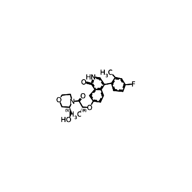 Cc1cc(F)ccc1-c1c[nH]c(=O)c2cc(O[C@H](C)C(=O)N3CCOC[C@@H]3CO)ccc12